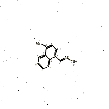 O/N=C/c1ccc(Br)c2ccccc12